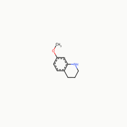 COc1[c]c2c(cc1)CCCN2